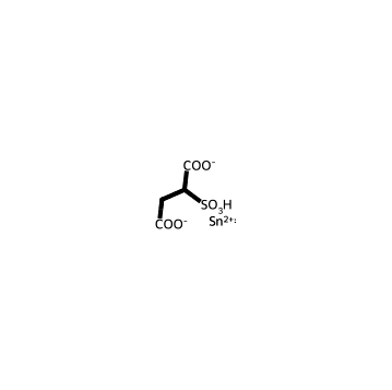 O=C([O-])CC(C(=O)[O-])S(=O)(=O)O.[Sn+2]